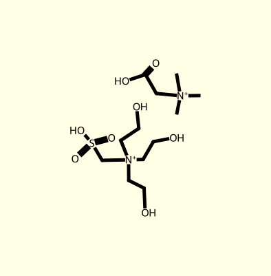 C[N+](C)(C)CC(=O)O.O=S(=O)(O)C[N+](CCO)(CCO)CCO